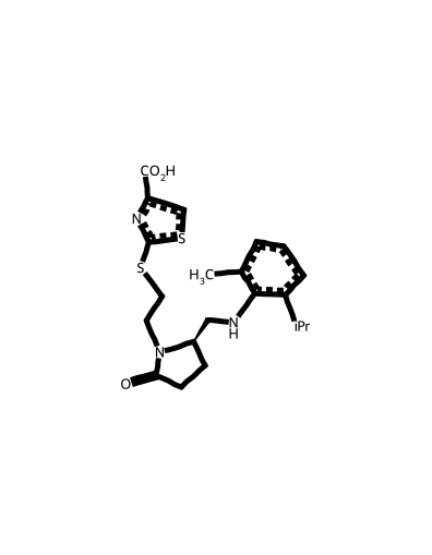 Cc1cccc(C(C)C)c1NC[C@H]1CCC(=O)N1CCSc1nc(C(=O)O)cs1